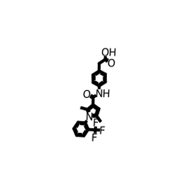 Cc1cc(C(=O)Nc2ccc(CC(=O)O)cc2)c(C)n1-c1ccccc1C(F)(F)F